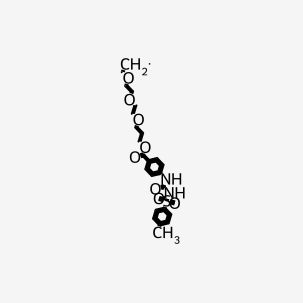 [CH2]COCCOCCOCCCOC(=O)c1ccc(NC(=O)NS(=O)(=O)c2ccc(C)cc2)cc1